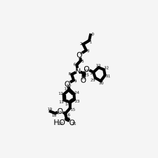 CCCCOCCN(CCOc1ccc(CC(OCC)C(=O)O)cc1)C(=O)OC1CCCCC1